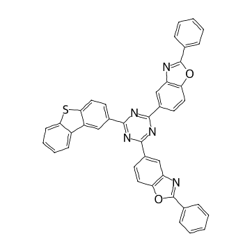 c1ccc(-c2nc3cc(-c4nc(-c5ccc6oc(-c7ccccc7)nc6c5)nc(-c5ccc6sc7ccccc7c6c5)n4)ccc3o2)cc1